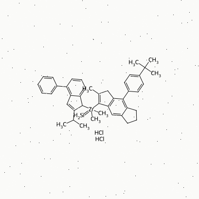 CC1=[C]([Zr]([CH3])([CH3])(=[SiH2])[CH]2C(C(C)C)=Cc3c(-c4ccccc4)cccc32)c2cc3c(c(-c4ccc(C(C)(C)C)cc4)c2C1)CCC3.Cl.Cl